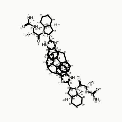 CC(C)[C@H](NC(N)=O)C(=O)N1[C@H](c2nc3cc(-c4cc5ccc4CCc4ccc(c(-c6ccc7[nH]c([C@@H]8C[C@@H]9CCCC[C@@H]9N8C(=O)[C@@H](NC(N)=O)C(C)C)nc7c6)c4)CC5)ccc3[nH]2)C[C@@H]2CCCC[C@@H]21